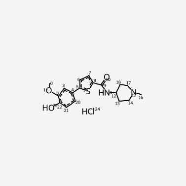 COc1cc(-c2ccc(C(=O)NC3CCN(C)CC3)s2)ccc1O.Cl